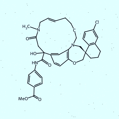 COC(=O)c1ccc(NC(=O)C2(O)CC(=O)N(C)C/C=C/CCCCN3C[C@@]4(CCCc5cc(Cl)ccc54)COc4ccc2cc43)cc1